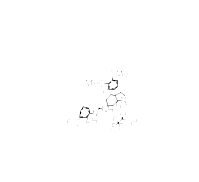 COc1ccc([C@@]23CC[C@@H](NC(=O)Nc4cccc(C(F)(F)F)c4F)C[C@@H]2N(C)CC3)c(F)c1OC.O=C(O)C(F)(F)F